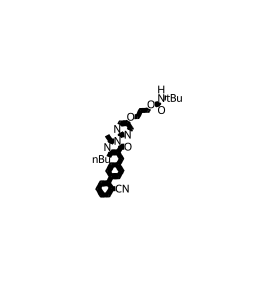 CCCCc1nc(C)n(-c2ncc(OCCCOC(=O)NC(C)(C)C)cn2)c(=O)c1Cc1ccc(-c2ccccc2C#N)cc1